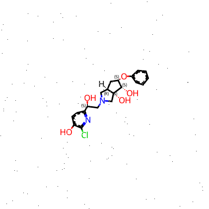 Oc1ccc([C@@H](O)CN2C[C@H]3C[C@H](Oc4ccccc4)[C@H](O)[C@@]3(O)C2)nc1Cl